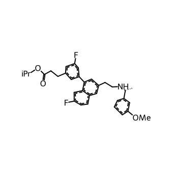 COc1cccc([C@@H](C)NCCc2cc(-c3cc(F)cc(CCC(=O)OC(C)C)c3)c3cc(F)ccc3c2)c1